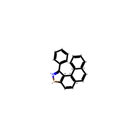 c1ccc(-c2nsc3ccc4ccc5ccccc5c4c23)cc1